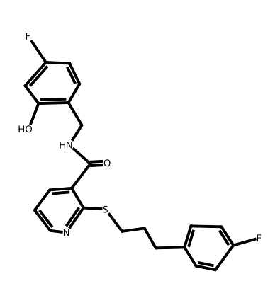 O=C(NCc1ccc(F)cc1O)c1cccnc1SCCCc1ccc(F)cc1